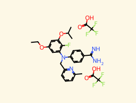 CCOc1cc(OC(C)C)c(F)c(N(Cc2cccc(C)n2)c2ccc(C(=N)N)cc2)c1.O=C(O)C(F)(F)F.O=C(O)C(F)(F)F